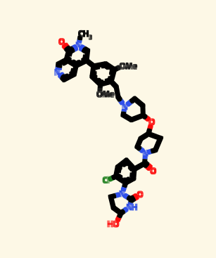 COc1cc(-c2cn(C)c(=O)c3cnccc23)cc(OC)c1CCN1CCC(OC2CCN(C(=O)c3ccc(Cl)c(N4CCC(O)NC4=O)c3)CC2)CC1